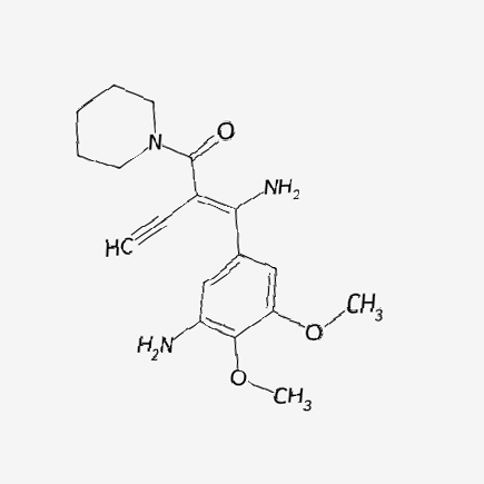 C#C/C(C(=O)N1CCCCC1)=C(/N)c1cc(N)c(OC)c(OC)c1